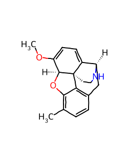 COC1=CC=C2[C@H]3Cc4ccc(C)c5c4[C@@]2(CCN3)[C@H]1O5